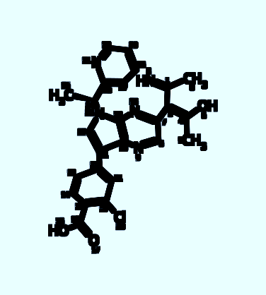 CC(=N)/C(=C(/C)O)c1cnc2c(-c3ccc(C(=O)O)c(Cl)c3)cn([C@@H](C)c3ccccn3)c2n1